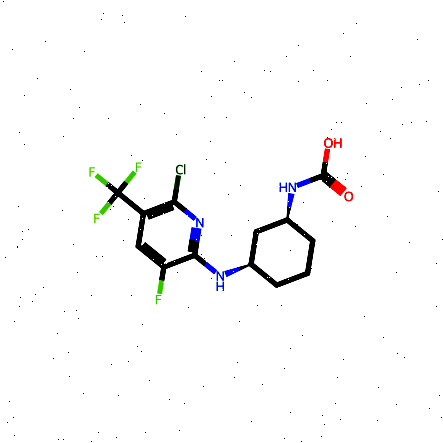 O=C(O)N[C@H]1CCC[C@@H](Nc2nc(Cl)c(C(F)(F)F)cc2F)C1